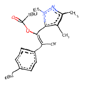 CCn1nc(C)c(C)c1C(OC(=O)C(C)(C)C)=C(C#N)c1ccc(C(C)(C)C)cc1